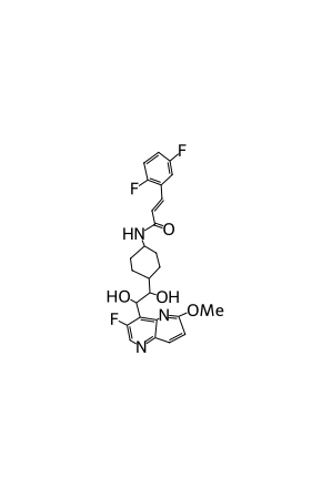 COc1ccc2ncc(F)c(C(O)C(O)C3CCC(NC(=O)C=Cc4cc(F)ccc4F)CC3)c2n1